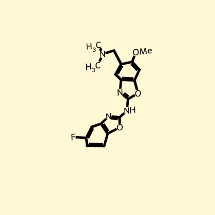 COc1cc2oc(Nc3nc4cc(F)ccc4o3)nc2cc1CN(C)C